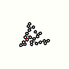 c1ccc(-n2c3ccccc3c3ccc(-c4cc(-c5ccc(-n6c7ccccc7c7ccc(-c8ccc9c(c8)c8ccc%10ccccc%10c8n9-c8ccccc8)cc76)c(-c6ccc(-c7ccc8c9c(cccc79)-c7ccccc7-8)cc6)c5)c5c6ccc7ccccc7c6n(-c6cccc(-c7ccc(-c8ccc9c%10c(cccc8%10)-c8ccccc8-9)cc7)c6)c5c4)cc32)cc1